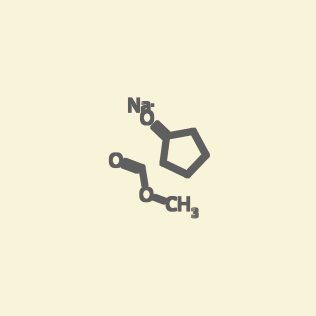 COC=O.O=C1CCCC1.[Na]